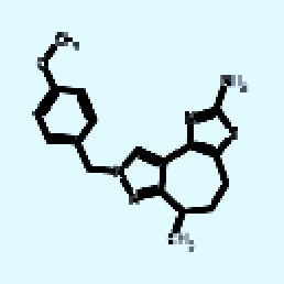 COc1ccc(Cn2cc3c(n2)C(C)CCc2sc(N)nc2-3)cc1